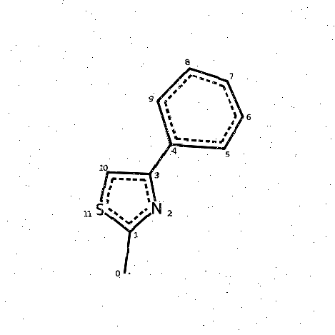 [CH2]c1nc(-c2ccccc2)cs1